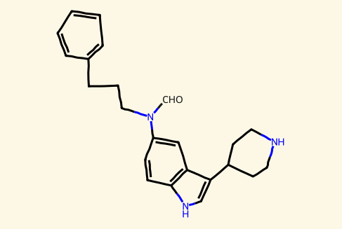 O=CN(CCCc1ccccc1)c1ccc2[nH]cc(C3CCNCC3)c2c1